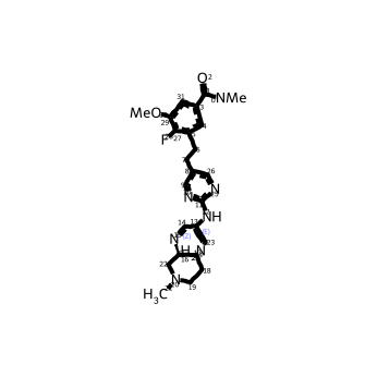 CNC(=O)c1cc(CCc2cnc(NC(/C=N\[C@H]3CCCN(C)C3)=C/N)nc2)c(F)c(OC)c1